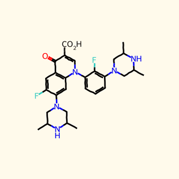 CC1CN(c2cc3c(cc2F)c(=O)c(C(=O)O)cn3-c2cccc(N3CC(C)NC(C)C3)c2F)CC(C)N1